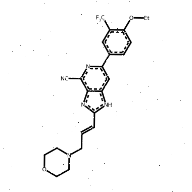 CCOc1ccc(-c2cc3[nH]c(/C=C/CN4CCOCC4)nc3c(C#N)n2)cc1C(F)(F)F